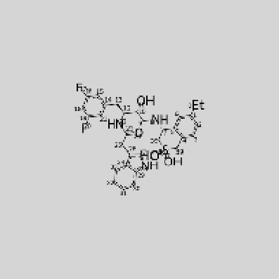 CCc1ccc2c(c1)[C@@H](NC[C@@H](O)[C@H](Cc1cc(F)cc(F)c1)NC(=O)Cc1c[nH]c3ccccc13)CS(O)(O)C2